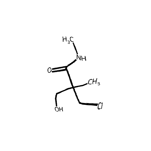 CNC(=O)C(C)(CO)CCl